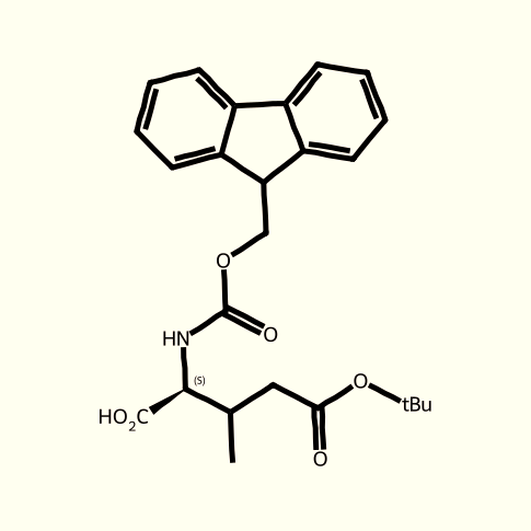 CC(CC(=O)OC(C)(C)C)[C@H](NC(=O)OCC1c2ccccc2-c2ccccc21)C(=O)O